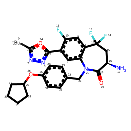 CC(C)(C)c1nnc(-c2cc3c(cc2F)C(F)(F)C[C@@H](N)C(=O)N3Cc2ccc(OC3CCCC3)cc2)o1